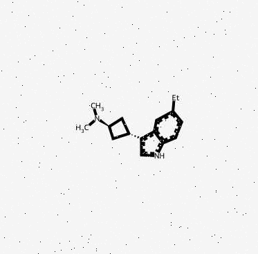 [CH2]Cc1ccc2[nH]cc([C@H]3C[C@H](N(C)C)C3)c2c1